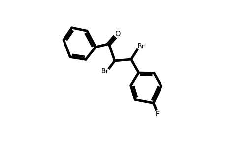 O=C(c1ccccc1)C(Br)C(Br)c1ccc(F)cc1